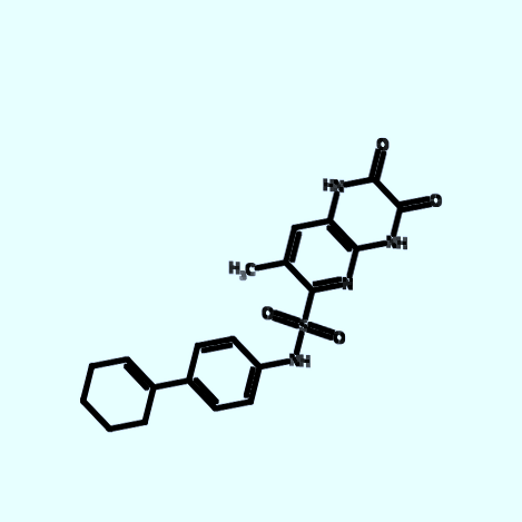 Cc1cc2[nH]c(=O)c(=O)[nH]c2nc1S(=O)(=O)Nc1ccc(C2=CCCCC2)cc1